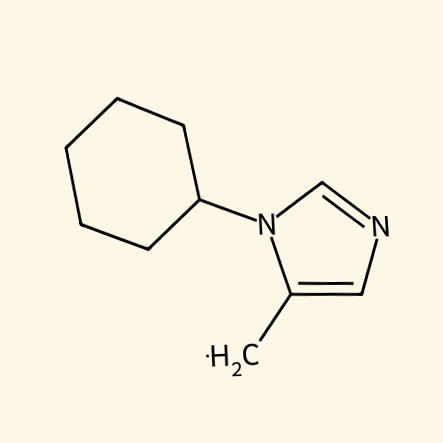 [CH2]c1cncn1C1CCCCC1